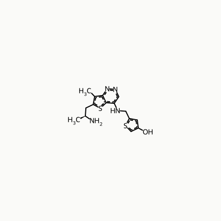 Cc1c(C[C@H](C)N)sc2c(NCc3cc(O)cs3)cnnc12